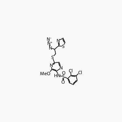 COc1nc(SCC(N=[N+]=[N-])c2nccs2)cnc1NS(=O)(=O)c1cccc(Cl)c1Cl